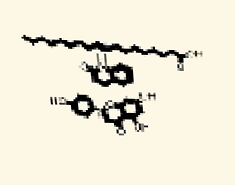 CCCCCCCC/C=C/CCCCCCCC(=O)O.O=C1C[C@@H](c2ccc(O)cc2)Oc2cc(O)cc(O)c21.O=c1ccc2ccccc2[nH]1